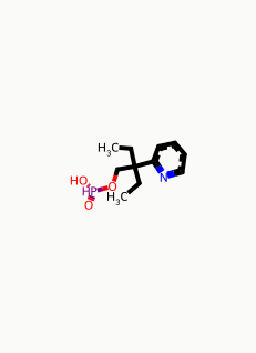 CCC(CC)(CO[PH](=O)O)c1ccccn1